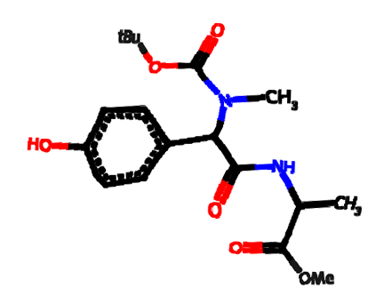 COC(=O)C(C)NC(=O)C(c1ccc(O)cc1)N(C)C(=O)OC(C)(C)C